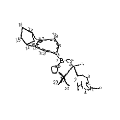 C[SiH2]CCC1(C)OB(c2ccc3c(c2)C2CCC3C2)OC1(C)C